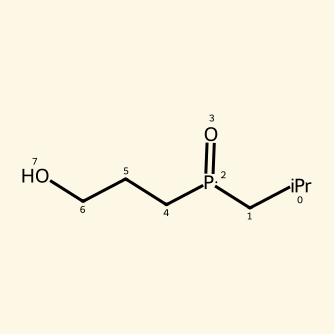 CC(C)C[P](=O)CCCO